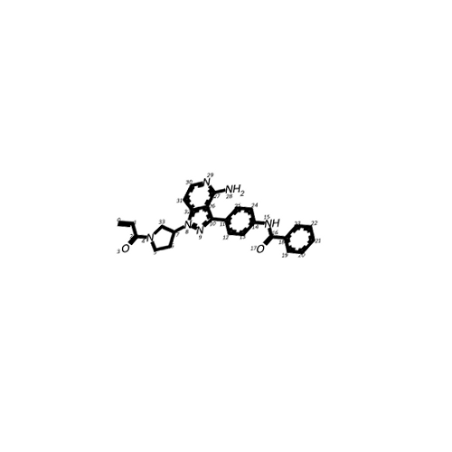 C=CC(=O)N1CCC(n2nc(-c3ccc(NC(=O)c4ccccc4)cc3)c3c(N)nccc32)C1